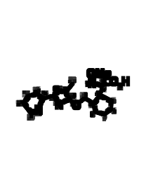 CON=C(C(=O)O)c1ccccc1COc1nc(-c2ccccn2)sc1C